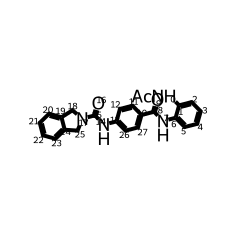 CC(=O)Nc1ccccc1NC(=O)c1ccc(NC(=O)N2Cc3ccccc3C2)cc1